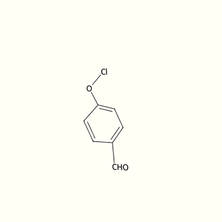 O=Cc1ccc(OCl)cc1